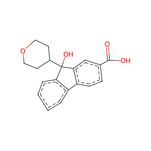 O=C(O)c1ccc2c(c1)C(O)(C1CCOCC1)c1ccccc1-2